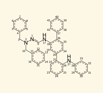 C(=N\N(Cc1ccccc1)Cc1ccccc1)/Nc1cc(-c2ccccc2Nc2ccccc2)ccc1-c1ccccc1